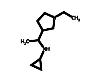 CCN1CCC(C(C)NC2CC2)C1